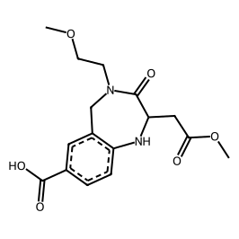 COCCN1Cc2cc(C(=O)O)ccc2NC(CC(=O)OC)C1=O